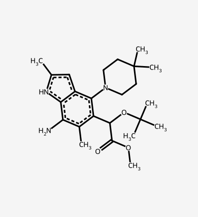 COC(=O)C(OC(C)(C)C)c1c(C)c(N)c2[nH]c(C)cc2c1N1CCC(C)(C)CC1